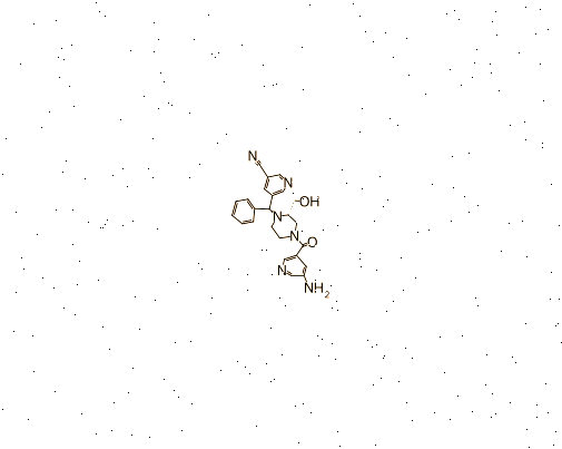 N#Cc1cncc([C@H](c2ccccc2)N2CCN(C(=O)c3cncc(N)c3)C[C@H]2CO)c1